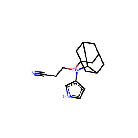 N#CCCOC12CC3CC(C1)C(Nc1cc[nH]c1)C(C3)C2